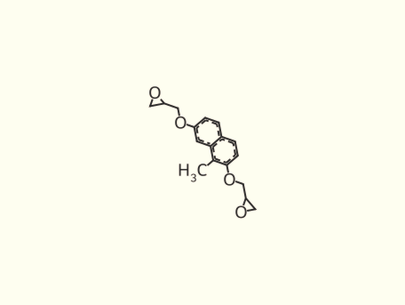 Cc1c(OCC2CO2)ccc2ccc(OCC3CO3)cc12